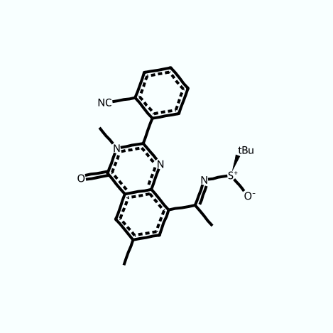 CC(=N[S@+]([O-])C(C)(C)C)c1cc(C)cc2c(=O)n(C)c(-c3ccccc3C#N)nc12